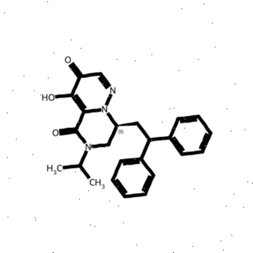 CC(C)N1C[C@H](CC(c2ccccc2)c2ccccc2)n2ncc(=O)c(O)c2C1=O